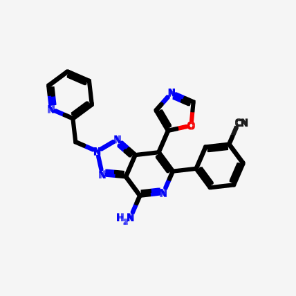 N#Cc1cccc(-c2nc(N)c3nn(Cc4ccccn4)nc3c2-c2cnco2)c1